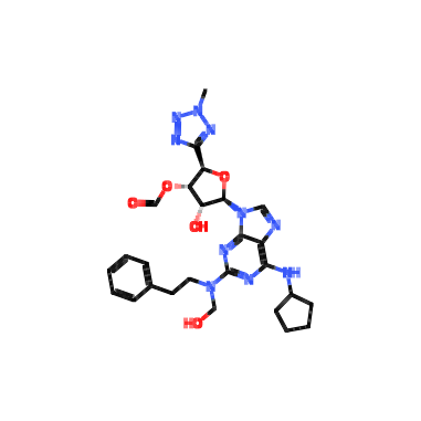 Cn1nnc([C@H]2O[C@@H](n3cnc4c(NC5CCCC5)nc(N(CO)CCc5ccccc5)nc43)[C@H](O)[C@@H]2OC=O)n1